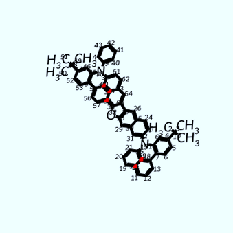 CC(C)(C)c1ccc(-c2ccccc2)c(N(c2ccccc2)c2ccc3cc4c(cc3c2)oc2cc3cc(N(c5ccccc5)c5cc(C(C)(C)C)ccc5-c5ccccc5)ccc3cc24)c1